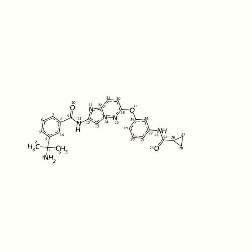 CC(C)(N)c1cccc(C(=O)Nc2cn3nc(Oc4cccc(NC(=O)C5CC5)c4)ccc3n2)c1